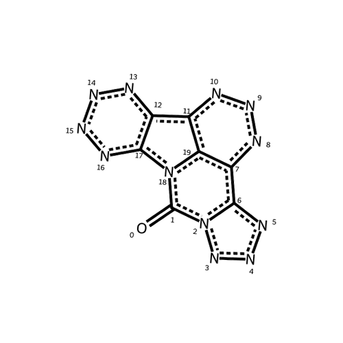 O=c1n2nnnc2c2nnnc3c4nnnnc4n1c32